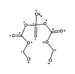 CP(=O)(OC(=O)OCCl)OC(=O)OCCl